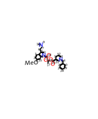 COc1ccc2c(CCN(C)C)cn(C(=O)OC(C)OC(=O)C3=CN(Cc4ccccc4)C=CC3)c2c1